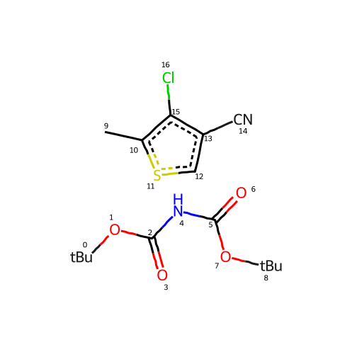 CC(C)(C)OC(=O)NC(=O)OC(C)(C)C.Cc1scc(C#N)c1Cl